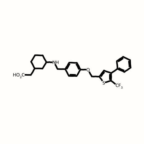 O=C(O)CC1CCCC(NCc2ccc(OCc3cc(-c4ccccc4)c(C(F)(F)F)s3)cc2)C1